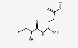 CC(C)CC(N)C(=O)NC(CCC(=O)C=N)C(=O)O